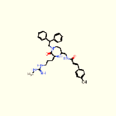 CNC(=N)NCCCC1NC(CNC(=O)/C=C/c2ccc(C)cc2)CCN(CC(c2ccccc2)c2ccccc2)C1=O